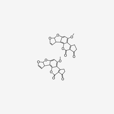 COc1cc2c(c3oc(=O)c4c(c13)CCC4=O)C1C=COC1O2.COc1cc2c(c3oc(=O)c4c(c13)CCC4=O)C1C=COC1O2